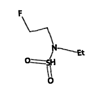 CCN(CCF)[SH](=O)=O